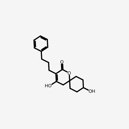 O=C1OC2(CCC(O)CC2)CC(O)=C1CCCc1ccccc1